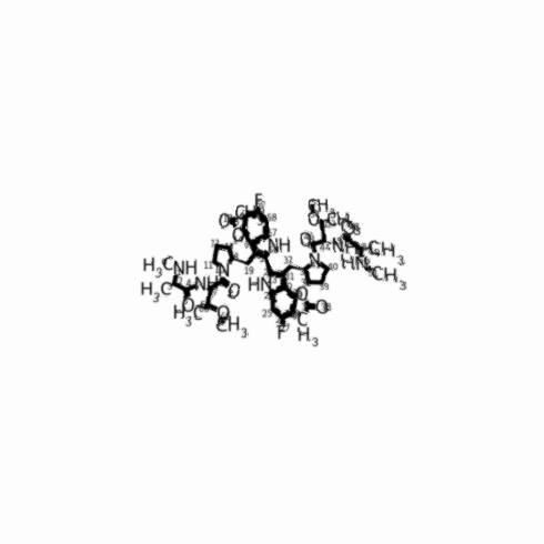 CN[C@@H](C)C(=O)NC(C(=O)N1CC[C@H](OC(C)=O)[C@H]1Cc1c(-c2[nH]c3cc(F)ccc3c2C[C@@H]2[C@@H](OC(C)=O)CCN2C(=O)[C@@H](NC(=O)[C@H](C)NC)[C@@H](C)OC)[nH]c2cc(F)ccc12)C(C)OC